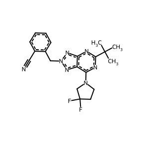 CC(C)(C)c1nc(N2CCC(F)(F)C2)c2nn(Cc3ccccc3C#N)nc2n1